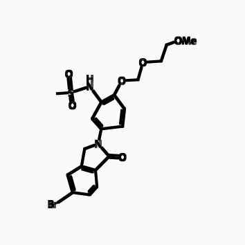 COCCOCOc1ccc(N2Cc3cc(Br)ccc3C2=O)cc1NS(C)(=O)=O